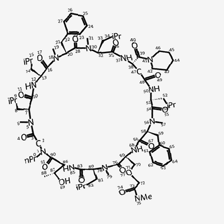 CCCN1CC(=O)N(C)[C@@H](CC(C)C)C(=O)N[C@@H](CC(C)C)C(=O)N(C)[C@@H](Cc2ccccc2)C(=O)N(C)[C@@H](CC(C)C)C(=O)N[C@H](C(=O)N2CCCCC2)CC(=O)N[C@H](CC(C)C)C(=O)N(C)[C@@H](Cc2ccccc2)C(=O)N[C@@H](COCC(=O)NC)C(=O)N(C)[C@@H](CC(C)C)C(=O)N[C@@H]([C@@H](C)O)C1=O